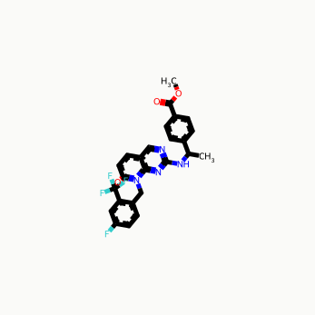 COC(=O)c1ccc(C(C)Nc2ncc3ccc(=O)n(Cc4ccc(F)cc4C(F)(F)F)c3n2)cc1